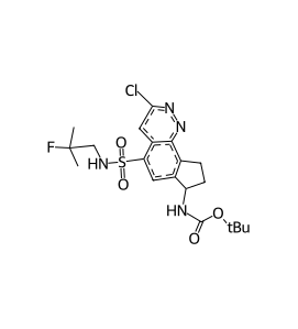 CC(C)(F)CNS(=O)(=O)c1cc2c(c3nnc(Cl)cc13)CCC2NC(=O)OC(C)(C)C